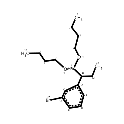 CCCCO[SiH](OCCCC)C(CC)c1cccc(Br)c1